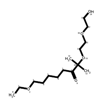 CCOCCCCCC(=O)C(C)(C)OCCOCCO